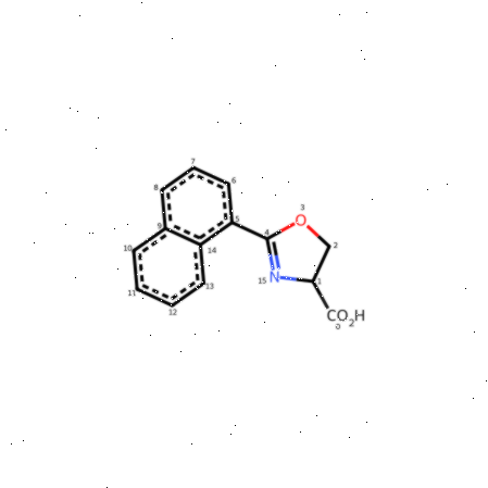 O=C(O)C1COC(c2cccc3ccccc23)=N1